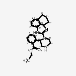 CCOC(=O)c1ccccc1C1CNCCN1C1=NC2CCCc3cccc(c32)N1